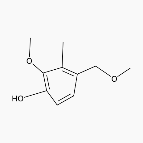 COCc1ccc(O)c(OC)c1C